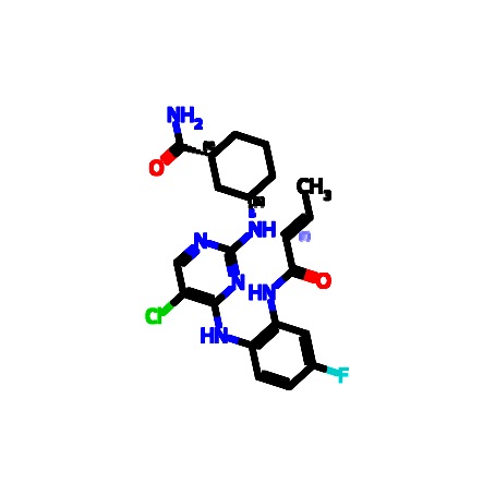 C/C=C/C(=O)Nc1cc(F)ccc1Nc1nc(N[C@H]2CCC[C@@H](C(N)=O)C2)ncc1Cl